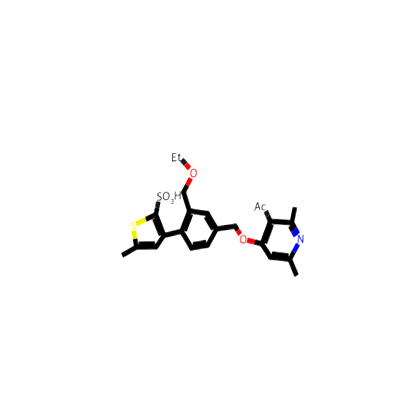 CCOCc1cc(COc2cc(C)nc(C)c2C(C)=O)ccc1-c1cc(C)sc1S(=O)(=O)O